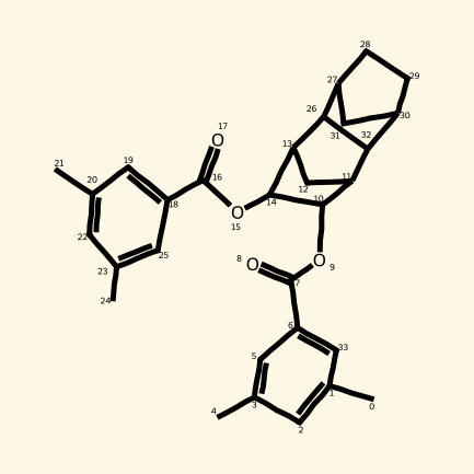 Cc1cc(C)cc(C(=O)OC2C3CC(C2OC(=O)c2cc(C)cc(C)c2)C2C4CCC(C4)C32)c1